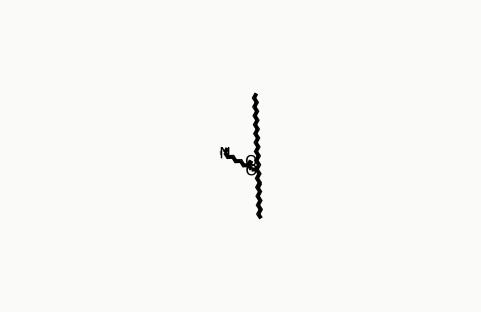 CCCCCCCC=CCCC(CCCCCCCCCCCCCCCCC)OC(=O)CCCCCN(C)C